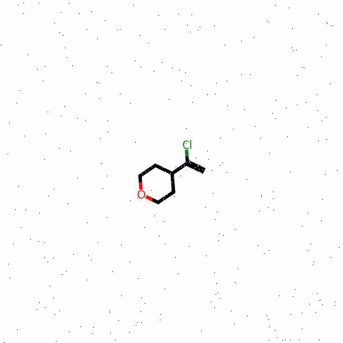 C=C(Cl)C1CCOCC1